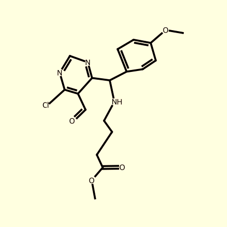 COC(=O)CCCNC(c1ccc(OC)cc1)c1ncnc(Cl)c1C=O